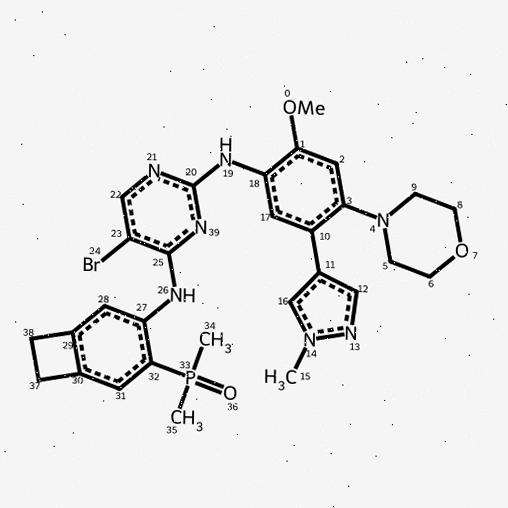 COc1cc(N2CCOCC2)c(-c2cnn(C)c2)cc1Nc1ncc(Br)c(Nc2cc3c(cc2P(C)(C)=O)CC3)n1